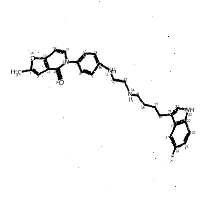 Cc1cc2c(=O)n(-c3ccc(NCCNCCCCc4c[nH]c5ccc(F)cc45)cc3)ccc2o1